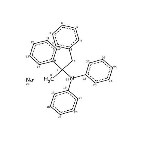 CC(Cc1ccccc1)(c1ccccc1)N(c1ccccc1)c1ccccc1.[Na]